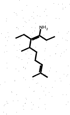 CCC(N)=C(CC)C(C)CCC=C(C)C